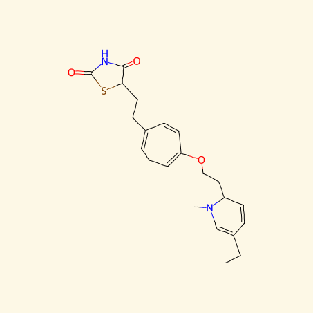 CCC1=CN(C)C(CCOC2=CCC=C(CCC3SC(=O)NC3=O)C=C2)C=C1